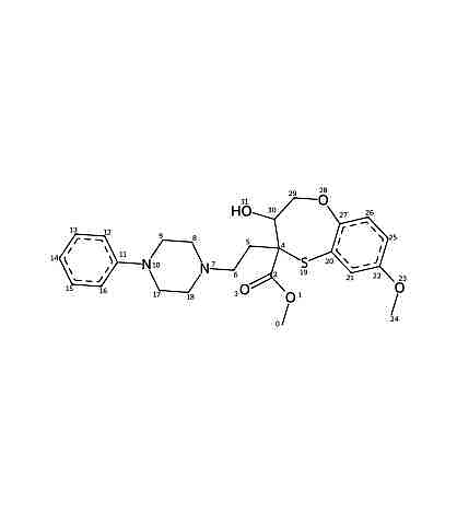 COC(=O)C1(CCN2CCN(c3ccccc3)CC2)Sc2cc(OC)ccc2OCC1O